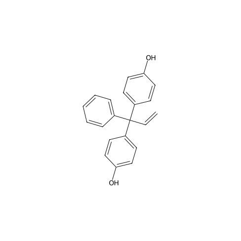 C=CC(c1ccccc1)(c1ccc(O)cc1)c1ccc(O)cc1